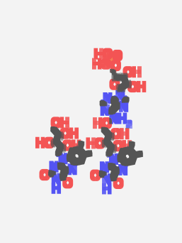 Cc1cc2nc3c(=O)[nH]c(=O)nc-3n(C[C@H](O)[C@H](O)[C@H](O)CO)c2cc1C.Cc1cc2nc3c(=O)[nH]c(=O)nc-3n(C[C@H](O)[C@H](O)[C@H](O)CO)c2cc1C.Nc1ncnc2c1ncn2[C@@H]1O[C@H](COP(=O)(O)O)[C@@H](O)[C@H]1O